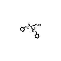 O=C(N[C@@H](CCCO)C(=O)OCc1ccccc1)OCc1ccccc1